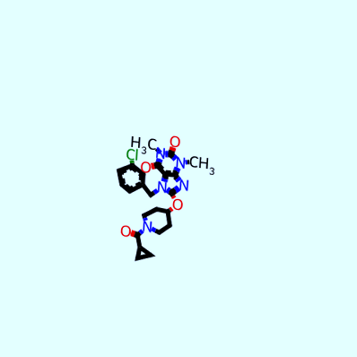 Cn1c(=O)c2c(nc(OC3CCN(C(=O)C4CC4)CC3)n2Cc2cccc(Cl)c2)n(C)c1=O